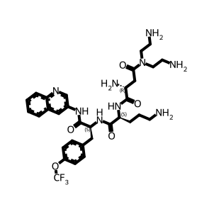 NCCC[C@H](NC(=O)[C@H](N)CC(=O)N(CCN)CCN)C(=O)N[C@@H](Cc1ccc(OC(F)(F)F)cc1)C(=O)Nc1cnc2ccccc2c1